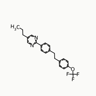 CCCc1cnc(-c2ccc(CCc3ccc(OC(F)(F)F)cc3)cc2)nc1